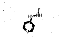 FNNc1ccncc1